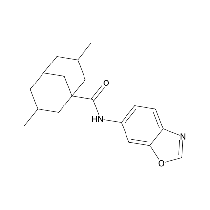 CC1CC2CC(C)CC(C(=O)Nc3ccc4ncoc4c3)(C1)C2